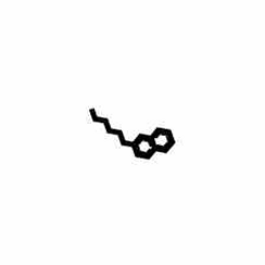 CCCCCCc1ccc2[c]cccc2c1